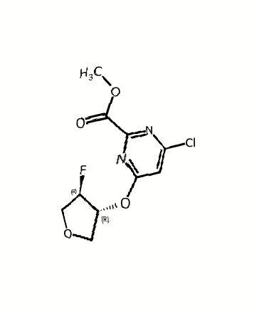 COC(=O)c1nc(Cl)cc(O[C@@H]2COC[C@H]2F)n1